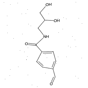 O=Cc1ccc(C(=O)NCC(O)CO)cc1